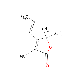 C/C=C/C1=C(C#N)C(=O)OC1(C)C